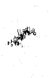 CC(=O)[C@H](CCCNC(N)N)NN1CCC[C@H]1C(=O)N1CCC[C@H]1C(=O)CN[C@@H](C)C(=O)CNC(=O)OCC1c2ccccc2-c2ccccc21